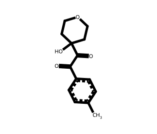 Cc1ccc(C(=O)C(=O)C2(O)CCOCC2)cc1